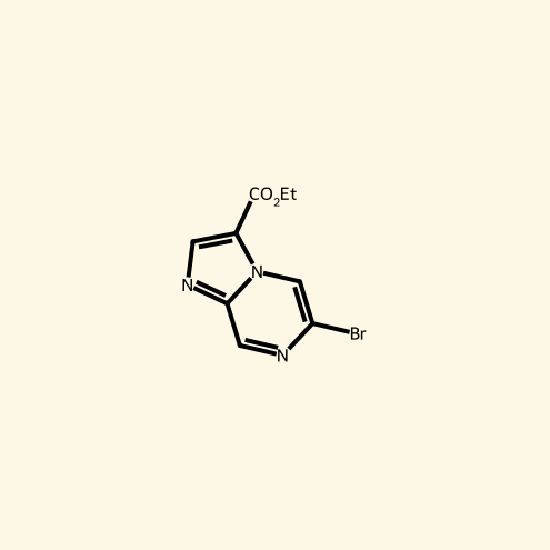 CCOC(=O)c1cnc2cnc(Br)cn12